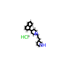 Cl.c1ccc2c(C3CCN(CCCC4CCCNC4)CC3)cccc2c1